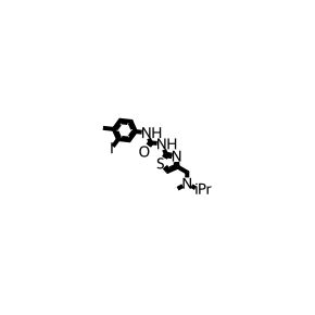 Cc1ccc(NC(=O)Nc2nc(CN(C)C(C)C)cs2)cc1I